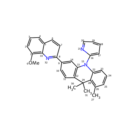 COc1cccc2ccc(-c3ccc4c(c3)N(c3ccccn3)c3cccc(C)c3C4(C)C)nc12